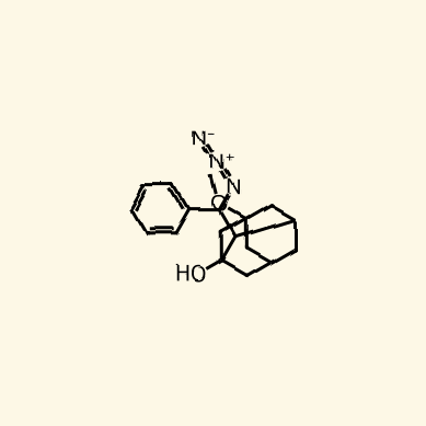 COC12CC3CC(C1)C(C(N=[N+]=[N-])c1ccccc1)C(O)(C3)C2